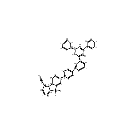 CC1(C)c2cc(-c3ccc(-c4cccc(-c5nc(-c6ccccc6)nc(-c6ccccc6)n5)c4)cc3)ccc2-c2c(C#N)cccc21